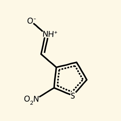 O=[N+]([O-])c1sccc1C=[NH+][O-]